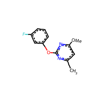 COc1cc(C)nc(Oc2cccc(F)c2)n1